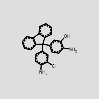 Nc1ccc(C2(c3ccc(N)c(Cl)c3)c3ccccc3-c3ccccc32)cc1O